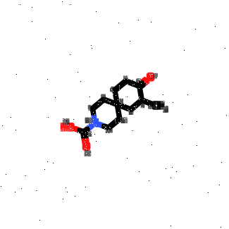 CC1CC2(CCC1=O)CCN(C(=O)O)CC2